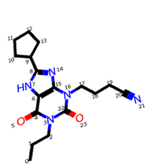 CCCn1c(=O)c2[nH]c(C3CCCC3)nc2n(CCCC#N)c1=O